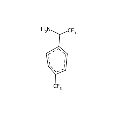 NC(c1ccc(C(F)(F)F)cc1)C(F)(F)F